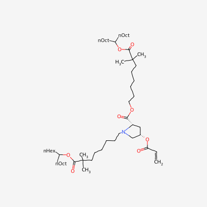 C=CC(=O)O[C@H]1C[C@@H](C(=O)OCCCCCCC(C)(C)C(=O)OC(CCCCCCCC)CCCCCCCC)N(CCCCCCC(C)(C)C(=O)OC(CCCCCC)CCCCCCCC)C1